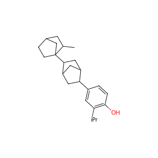 CC(C)c1cc(C2CC3CC2CC3C23CCC(CC2C)C3)ccc1O